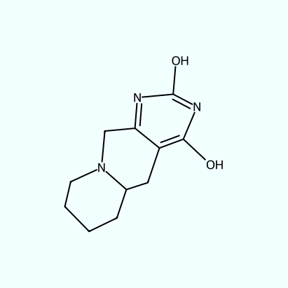 Oc1nc(O)c2c(n1)CN1CCCCC1C2